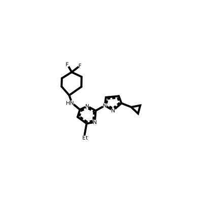 CCc1cc(NC2CCC(F)(F)CC2)nc(-n2ccc(C3CC3)n2)n1